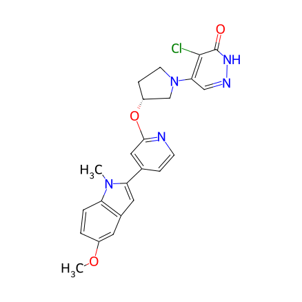 COc1ccc2c(c1)cc(-c1ccnc(O[C@@H]3CCN(c4cn[nH]c(=O)c4Cl)C3)c1)n2C